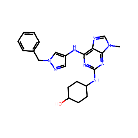 Cn1cnc2c(Nc3cnn(Cc4ccccc4)c3)nc(NC3CCC(O)CC3)nc21